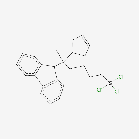 CC(CCCC[Si](Cl)(Cl)Cl)(C1=CC=CC1)C1c2ccccc2-c2ccccc21